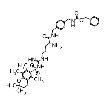 Cc1c(C)c(S(=O)(=O)NC(=N)NCCC[C@@H](N)C(=O)NCc2ccc(CNC(=O)OCc3ccccc3)cc2)c(C)c2c1OC(C)(C)CC2